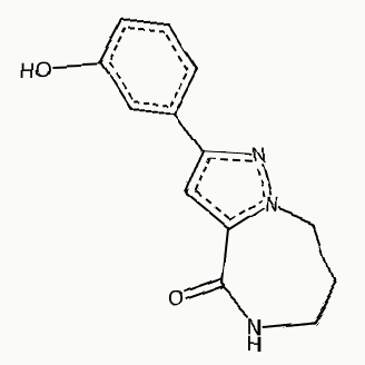 O=C1NCCCn2nc(-c3cccc(O)c3)cc21